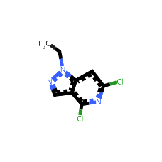 FC(F)(F)Cn1ncc2c(Cl)nc(Cl)cc21